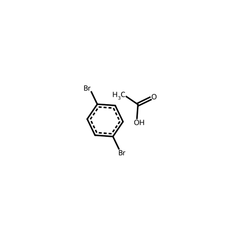 Brc1ccc(Br)cc1.CC(=O)O